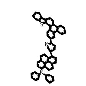 c1ccc(N(c2ccccc2)c2ccc3ccc4c(-c5ccc(-c6ccc7c(c6)c6ccccc6c6ccc8c9ccccc9sc8c67)nc5)ccc5ccc2c3c54)cc1